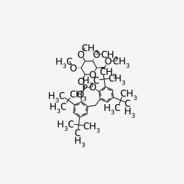 COC[C@H]1OC(OP2Oc3c(cc(C(C)(C)C)cc3C(C)(C)C)Cc3cc(C(C)(C)C)cc(C(C)(C)C)c3O2)[C@H](OC)[C@@H](OC)[C@@H]1OC